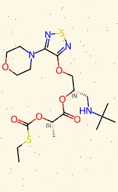 CCSC(=O)O[C@@H](C)C(=O)O[C@@H](CNC(C)(C)C)COc1nsnc1N1CCOCC1